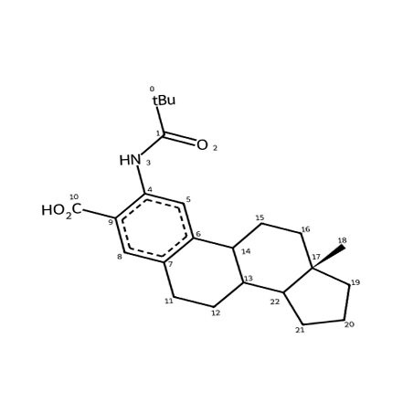 CC(C)(C)C(=O)Nc1cc2c(cc1C(=O)O)CCC1C2CC[C@]2(C)CCCC12